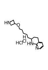 Cl.Cl.c1cnc2c(c1)CCC(CCCCCOC1CNC1)N2